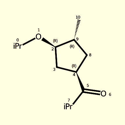 CC(C)O[C@@H]1C[C@H](C(=O)C(C)C)C[C@H]1C